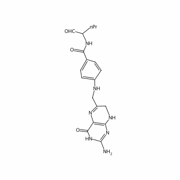 CCCC(C=O)NC(=O)c1ccc(NCC2=Nc3c(nc(N)[nH]c3=O)NC2)cc1